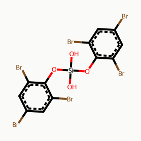 O[Si](O)(Oc1c(Br)cc(Br)cc1Br)Oc1c(Br)cc(Br)cc1Br